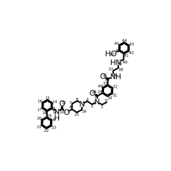 CCN(CCN1CCC(OC(=O)Nc2ccccc2-c2ccccc2)CC1)C(=O)c1cccc(C(=O)NCCNCc2ccccc2O)c1